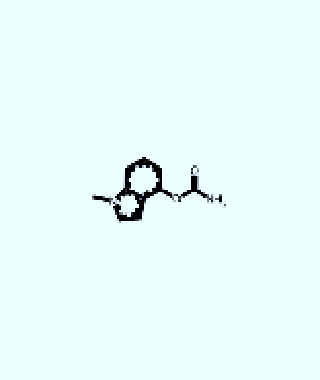 Cn1ccc2c(OC(N)=O)cccc21